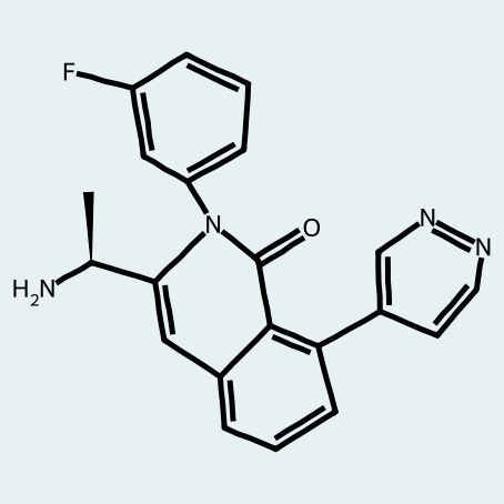 C[C@H](N)c1cc2cccc(-c3ccnnc3)c2c(=O)n1-c1cccc(F)c1